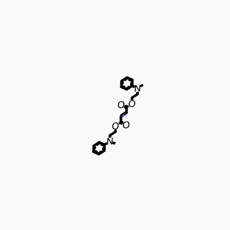 CN(CCOC(=O)/C=C/C(=O)OCCN(C)c1ccccc1)c1ccccc1